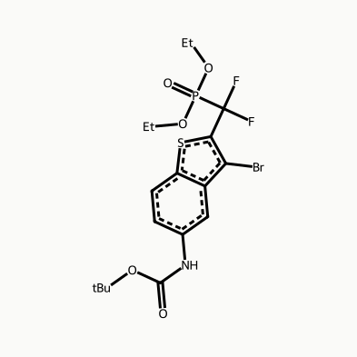 CCOP(=O)(OCC)C(F)(F)c1sc2ccc(NC(=O)OC(C)(C)C)cc2c1Br